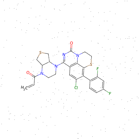 C=CC(=O)N1CCN(c2nc(=O)n3c4c(c(-c5ccc(F)cc5F)c(Cl)cc24)SCC3)C2CSCC21